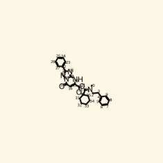 CN(CCc1ccccc1)C(=O)C1(OCc2cc(=O)n3nc(-c4ccccc4)nc3[nH]2)CCCCC1